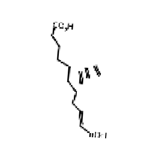 C=C.C=C.C=C.CCCCCCCCC=CCCCCCCCC(=O)O